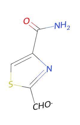 NC(=O)c1csc([C]=O)n1